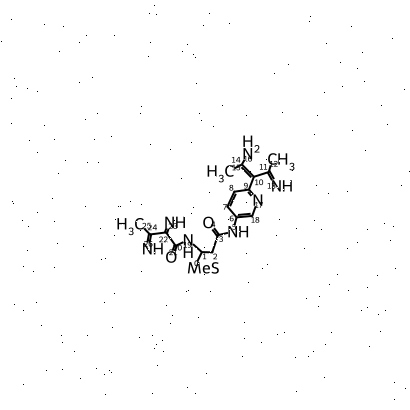 CSC(CC(=O)Nc1ccc(/C(C(C)=N)=C(\C)N)nc1)NC(=O)C(=N)C(C)=N